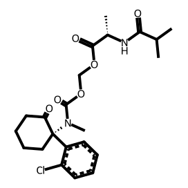 CC(C)C(=O)N[C@@H](C)C(=O)OCOC(=O)N(C)[C@]1(c2ccccc2Cl)CCCCC1=O